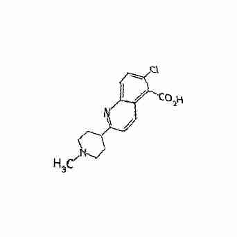 CN1CCC(c2ccc3c(C(=O)O)c(Cl)ccc3n2)CC1